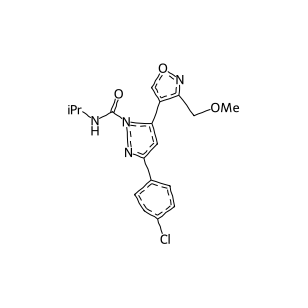 COCc1nocc1-c1cc(-c2ccc(Cl)cc2)nn1C(=O)NC(C)C